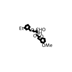 CCc1cccc(COC[C@@H](C=O)NC(=O)c2cc3cc(OC)ccc3o2)c1